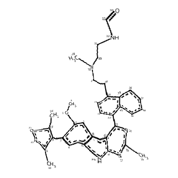 COc1cc2c(cc1-c1c(C)noc1C)[nH]c1nc(C)nc(-c3ccc(CCN(C)CCNC=O)c4ccccc34)c12